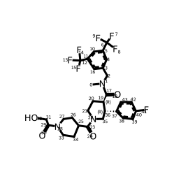 CN(Cc1cc(C(F)(F)F)cc(C(F)(F)F)c1)C(=O)[C@@H]1CCN(C(=O)C2CCN(C(=O)CO)CC2)C[C@H]1c1ccc(F)cc1